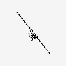 CCCCCCCCC=CCCCCCCCCOCC(COCCCCCCCCC=CCCCCCCCC)NC(=O)ONC(C)CC